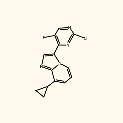 Fc1cnc(Cl)nc1-c1cnc2c(C3CC3)cccn12